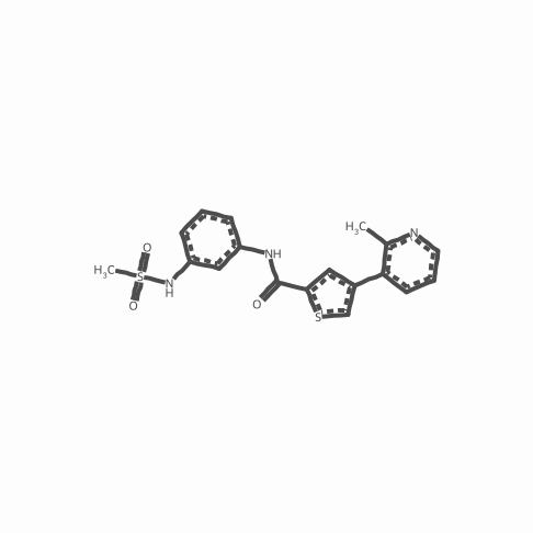 Cc1ncccc1-c1csc(C(=O)Nc2cccc(NS(C)(=O)=O)c2)c1